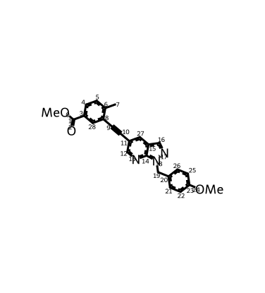 COC(=O)c1ccc(C)c(C#Cc2cnc3c(cnn3Cc3ccc(OC)cc3)c2)c1